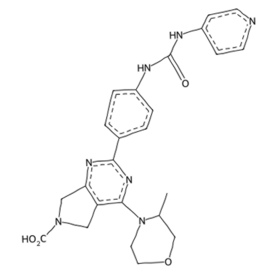 CC1COCCN1c1nc(-c2ccc(NC(=O)Nc3ccncc3)cc2)nc2c1CN(C(=O)O)C2